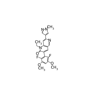 CCn1c(=O)c(-c2c(F)c(OC)cc(OC)c2F)cc2cnc(-c3cnn(C)c3)cc21